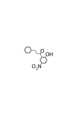 O=C(CCc1ccccc1)c1cc([N+](=O)[O-])ccc1O